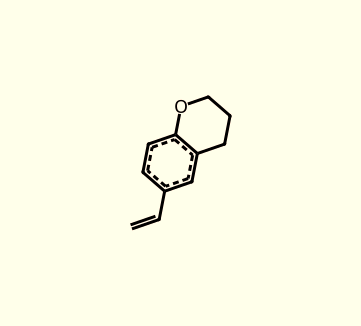 C=Cc1ccc2c(c1)CCCO2